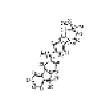 CC1(c2ccc(Nc3ccc4c(c3)-c3ccccc3C4(C)C)cc2)CC2CC3CC(C1)C32